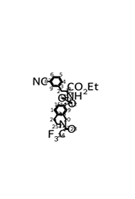 CCOC(=O)C(Cc1cccc(C#N)c1)NS(=O)(=O)c1ccc2c(c1)CN(C(=O)C(F)(F)F)CC2